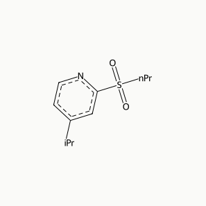 CCCS(=O)(=O)c1cc(C(C)C)ccn1